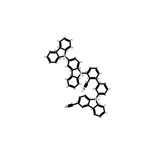 N#Cc1ccc2c(c1)c1ccccc1n2-c1cccc(-c2cccc(-n3c4ccccc4c4cc(-n5c6ccccc6c6ccccc65)ccc43)c2C#N)c1